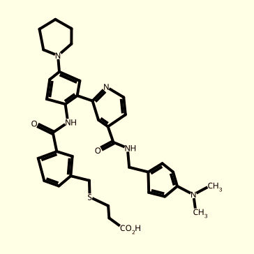 CN(C)c1ccc(CNC(=O)c2ccnc(-c3cc(N4CCCCC4)ccc3NC(=O)c3cccc(CSCCC(=O)O)c3)c2)cc1